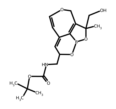 CC(C)(C)OC(=O)NCC1C=C2C=COCC3=C2B(O1)OC3(C)CO